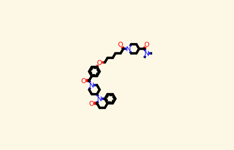 CN(C)C(=O)C1CCN(C(=O)CCCCCOc2ccc(C(=O)N3CCC(N4C(=O)CCc5ccccc54)CC3)cc2)CC1